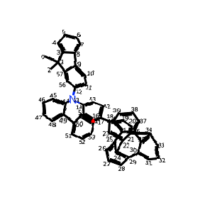 CC1(C)c2ccccc2-c2ccc(N(c3ccc(-c4ccc5c(c4)-c4c6cccc4-c4cccc-5c4-c4ccccc4-6)cc3)c3ccccc3-c3ccccc3)cc21